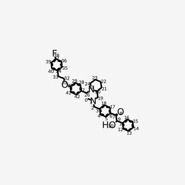 CN(Cc1ccc(C(=O)C(O)c2ccccc2)cc1)CC1CCCCN1Cc1ccc(OCCc2ccc(F)cc2)cc1